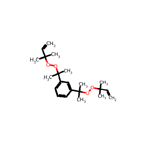 C=CC(C)(C)OOC(C)(C)c1cccc(C(C)(C)OOC(C)(C)C=C)c1